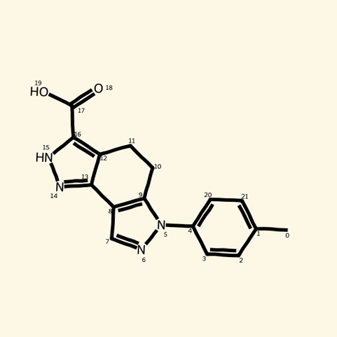 Cc1ccc(-n2ncc3c2CCc2c-3n[nH]c2C(=O)O)cc1